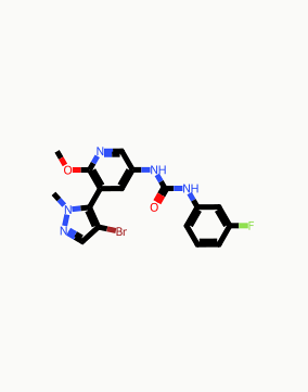 COc1ncc(NC(=O)Nc2cccc(F)c2)cc1-c1c(Br)cnn1C